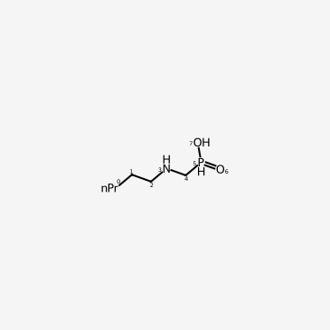 CCCCCNC[PH](=O)O